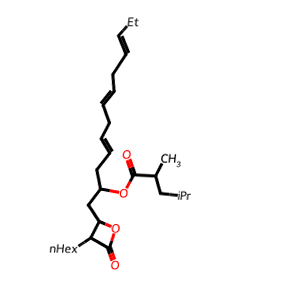 CC/C=C/C/C=C/C/C=C/CC(CC1OC(=O)C1CCCCCC)OC(=O)C(C)CC(C)C